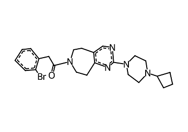 O=C(Cc1ccccc1Br)N1CCc2cnc(N3CCN(C4CCC4)CC3)nc2CC1